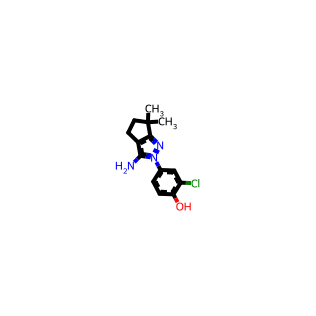 CC1(C)CCc2c1nn(-c1ccc(O)c(Cl)c1)c2N